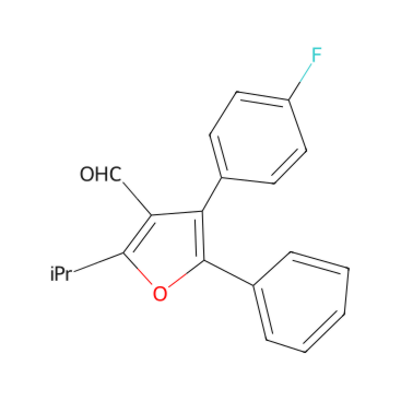 CC(C)c1oc(-c2ccccc2)c(-c2ccc(F)cc2)c1C=O